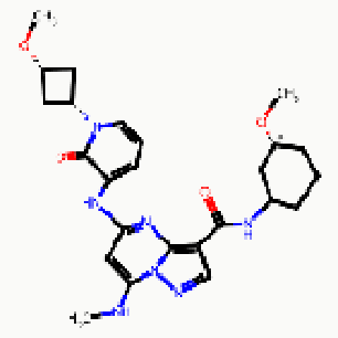 CNc1cc(Nc2cccn([C@H]3C[C@@H](OC)C3)c2=O)nc2c(C(=O)NC3CCC[C@@H](OC)C3)cnn12